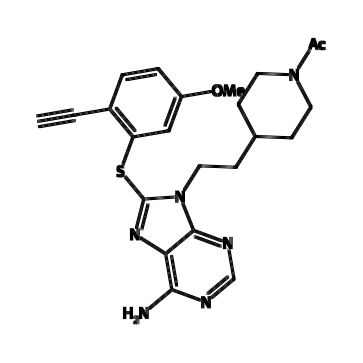 C#Cc1ccc(OC)cc1Sc1nc2c(N)ncnc2n1CCC1CCN(C(C)=O)CC1